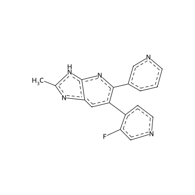 Cc1nc2cc(-c3ccncc3F)c(-c3cccnc3)nc2[nH]1